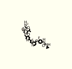 COCCN(Cc1ccc(-c2cc3nccc(Oc4ccc(NC(=O)NC5CC5)cc4F)c3s2)nc1)C(=O)[C@@H](NC(=O)CN)C(C)C